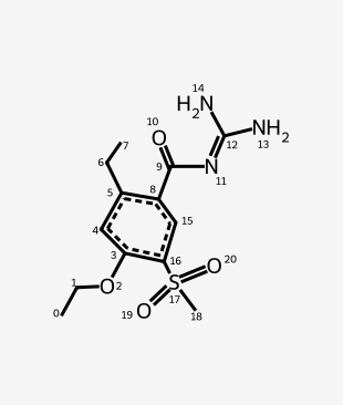 CCOc1cc(CC)c(C(=O)N=C(N)N)cc1S(C)(=O)=O